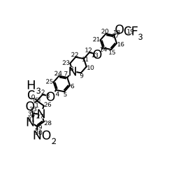 C[C@@]1(COc2ccc(N3CCC(COc4ccc(OC(F)(F)F)cc4)CC3)cc2)Cn2cc([N+](=O)[O-])nc2O1